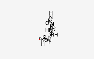 O=C(NC12CC(C1)C2)O[C@H]1C[C@@H](c2cc(Nc3nccc4nc(C(=O)N5CCNCC5)cn34)n[nH]2)C[C@H]1F